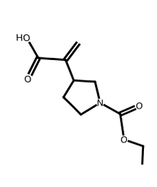 C=C(C(=O)O)C1CCN(C(=O)OCC)C1